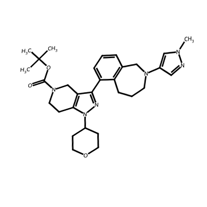 Cn1cc(N2CCCc3c(cccc3-c3nn(C4CCOCC4)c4c3CN(C(=O)OC(C)(C)C)CC4)C2)cn1